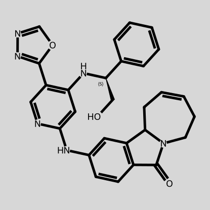 O=C1c2ccc(Nc3cc(N[C@H](CO)c4ccccc4)c(-c4nnco4)cn3)cc2C2CC=CCCN12